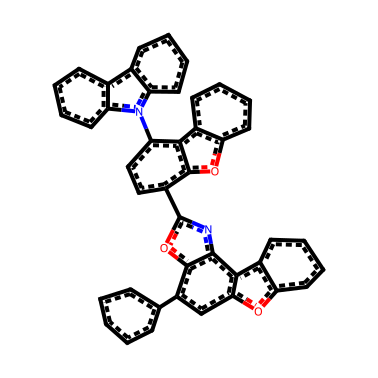 c1ccc(-c2cc3oc4ccccc4c3c3nc(-c4ccc(-n5c6ccccc6c6ccccc65)c5c4oc4ccccc45)oc23)cc1